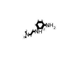 CN(C)CCNc1cccc(N)c1